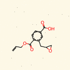 C=CCOC(=O)c1ccc(C(=O)O)cc1CC1CO1